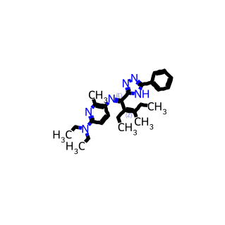 CC/C(C)=C(CC)\C(=N/c1ccc(N(CC)CC)nc1C)c1nnc(-c2ccccc2)[nH]1